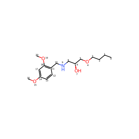 CCCCOC[C@@H](O)CNCc1ccc(OC)cc1OC